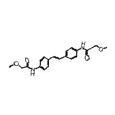 COCC(=O)Nc1ccc(C=Cc2ccc(NC(=O)COC)cc2)cc1